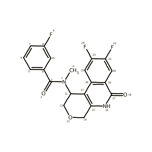 CN(C(=O)c1cccc(F)c1)C1COCc2[nH]c(=O)c3cc(F)c(F)cc3c21